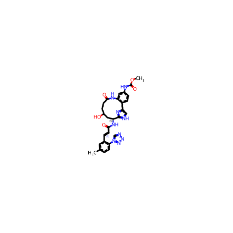 COC(=O)Nc1ccc2c(c1)NC(=O)CCC(O)C[C@H](NC(=O)/C=C/c1cc(C)ccc1-n1cnnn1)c1nc-2c[nH]1